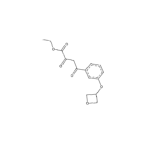 CCOC(=O)C(=O)CC(=O)c1cccc(OC2COC2)c1